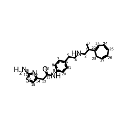 CC(CNCCc1ccc(NC(=O)Cc2csc(N)n2)cc1)C1=CC=CC=CC1